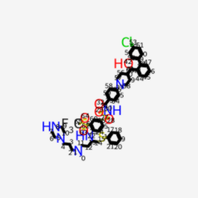 CN(CCCN1CCNCC1)CCC(CSc1ccccc1)Nc1ccc(S(=O)(=O)NC(=O)c2ccc(N3CCC([C@H](O)c4ccccc4-c4ccc(Cl)cc4)CC3)cc2)cc1S(=O)(=O)C(F)(F)F